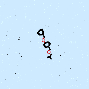 C=C(C)COCc1ccc(OCc2ccccc2)cc1